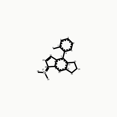 Cc1ccccc1-c1c2c(cc3c1CCC3)C(=[Si](C)C)C=C2